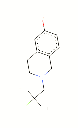 CC(C)(F)CN1CCc2cc(O)ccc2C1